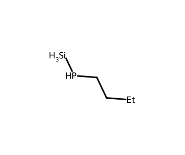 CCCCP[SiH3]